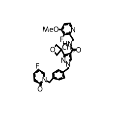 COc1ccnc(CNC(=O)c2cn(Cc3ccc(Cn4cc(F)ccc4=O)cc3)nc2C2(C)COC2)c1F